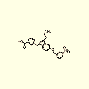 NCCc1cn(Cc2cccc(C(=O)O)c2)c2ccc(OCc3cccc([N+](=O)[O-])c3)cc12